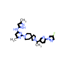 Cc1cc(Nc2cc(C)nc(N3CCC4(CC3)CCN(C(C)c3ccc(-n5cc(F)cn5)nc3)C4)n2)[nH]n1